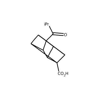 CC(C)C(=O)C12C3C4C1C1C2C3C41C(=O)O